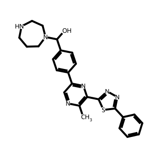 Cc1ncc(-c2ccc(C(O)N3CCCNCC3)cc2)nc1-c1nnc(-c2ccccc2)s1